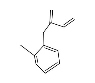 C=CC(=C)Cc1ccccc1C